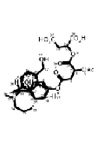 CC(=O)O[C@@H](CC(=O)OC1=CC[C@@]2(O)[C@H]3Cc4ccc(CO)c5c4[C@@]2(CCCN3C)[C@H]1O5)C(=O)O[C@@H](CC(=O)O)C(=O)O